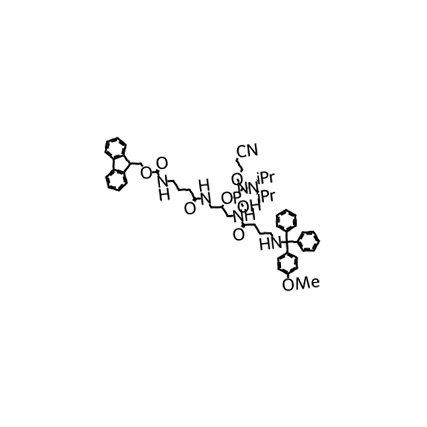 COc1ccc(C(NCCCC(=O)NCC(CNC(=O)CCCNC(=O)OCC2c3ccccc3-c3ccccc32)OP(O)N(OCCC#N)N(C(C)C)C(C)C)(c2ccccc2)c2ccccc2)cc1